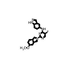 COc1ccc2cn(-c3ncc(F)c(Nc4ccc5[nH]ncc5c4)n3)cc2c1